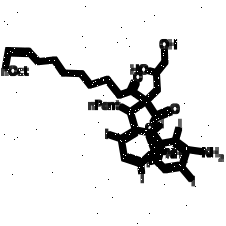 CCCCCCCC/C=C\CCCCCCCC(=O)C(CC(O)CO)(C(=O)Oc1c(I)cc(I)c(N)c1I)C(CCCCC)c1c(I)cc(I)c(N)c1I